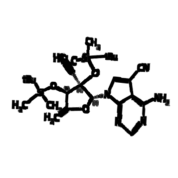 C#C[C@@]1(O[Si](C)(C)C(C)(C)C)[C@H](O[Si](C)(C)C(C)(C)C)C(=C)O[C@H]1n1cc(C#N)c2c(N)ncnc21